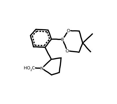 CC1(C)COB(c2ccccc2C2CCCN2C(=O)O)OC1